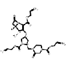 C=CCOC(=O)C1=C(S[C@H]2C[C@@H](CN3CCN(C(=O)OCC=C)CC3=O)N(C(=O)OCC=C)C2)[C@H](C)[C@@H]2CC(=O)N12